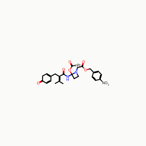 CCCC(=O)OC1(NC(=O)C(CC2=CCC(=O)C=C2)=C(C)C)CCN1CC(=O)OCc1ccc([N+](=O)[O-])cc1